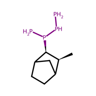 C[C@H]1C2CCC(C2)[C@H]1P(P)PP